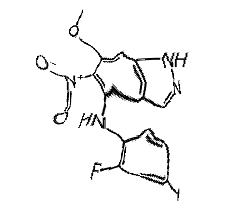 COc1cc2[nH]ncc2c(Nc2ccc(I)cc2F)c1[N+](=O)[O-]